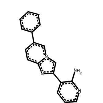 Nc1ncccc1-c1cn2cc(-c3c[c]ccc3)ccc2n1